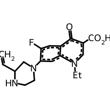 C=CC1CN(c2cc3c(cc2F)c(=O)c(C(=O)O)cn3CC)CCN1